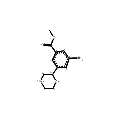 COC(=O)c1cc(N)cc(C2CNCCO2)c1